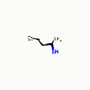 CCCCC(=N)[SiH3]